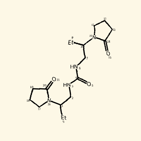 CCC(CNC(=O)NCC(CC)N1CCCC1=O)N1CCCC1=O